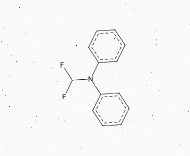 FC(F)N(c1ccccc1)c1ccccc1